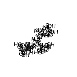 Cc1c(C#N)c(Nc2ccc(S(=O)(=O)O)cc2)nc(Nc2ccc(S(=O)(=O)O)cc2)c1N=Nc1sc(/N=N/c2cc(S(=O)(=O)O)c3cccc(S(=O)(=O)O)c3c2)c(-c2ccc(Nc3nc(N)nc(Nc4cc(S(=O)(=O)O)ccc4S(=O)(=O)O)n3)cc2)c1C#N